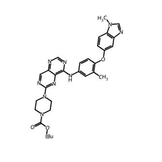 Cc1cc(Nc2ncnc3cnc(N4CCN(C(=O)OC(C)(C)C)CC4)nc23)ccc1Oc1ccc2c(c1)ncn2C